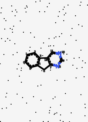 c1ccc2c(c1)Cc1ncncc1-2